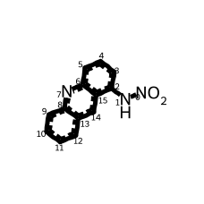 O=[N+]([O-])Nc1cccc2nc3ccccc3cc12